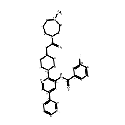 CN1CCCN(C(=O)CC2CCN(c3ncc(-c4cccnc4)cc3NC(=O)c3cccc(Cl)c3)CC2)CC1